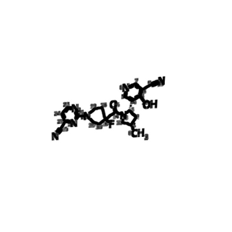 C[C@@H]1C[C@@H](c2cncc(C#N)c2O)N(C(=O)C2(F)CCN(c3nccc(C#N)n3)CC2)C1